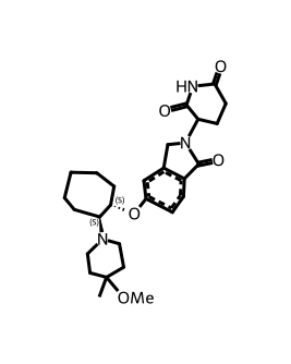 COC1(C)CCN([C@H]2CCCCC[C@@H]2Oc2ccc3c(c2)CN(C2CCC(=O)NC2=O)C3=O)CC1